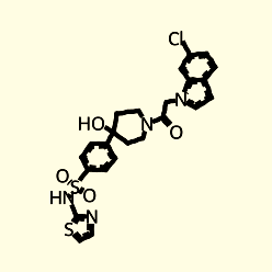 O=C(Cn1ccc2ccc(Cl)cc21)N1CCC(O)(c2ccc(S(=O)(=O)Nc3nccs3)cc2)CC1